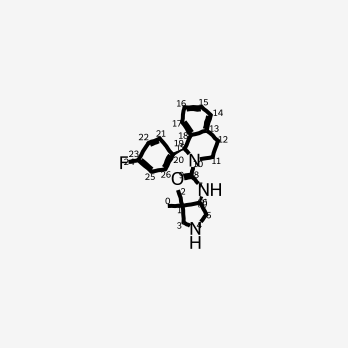 CC1(C)CNC[C@@H]1NC(=O)N1CCc2ccccc2[C@@H]1c1ccc(F)cc1